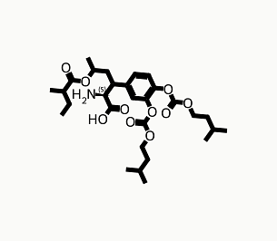 CCC(C)C(=O)OC(C)CC(c1ccc(OC(=O)OCCC(C)C)c(OC(=O)OCCC(C)C)c1)[C@H](N)C(=O)O